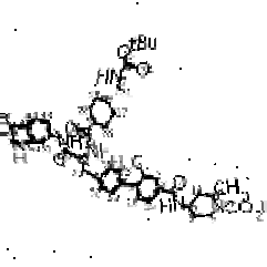 Cc1cc(C(=O)NC2CCN(C(=O)O)C(C)C2)ccc1-c1ccc(C[C@H](NC(=O)[C@H]2CC[C@H](CNC(=O)OC(C)(C)C)CC2)C(=O)Nc2ccc3c(=O)[nH][nH]c3c2)cc1